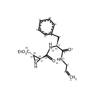 C=CCNC(=O)[C@H](Cc1ccccc1)NC(=O)[C@H]1N[C@@H]1C(=O)OCC